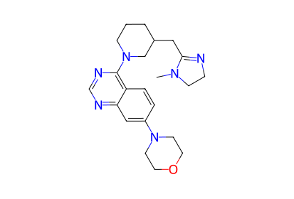 CN1CCN=C1CC1CCCN(c2ncnc3cc(N4CCOCC4)ccc23)C1